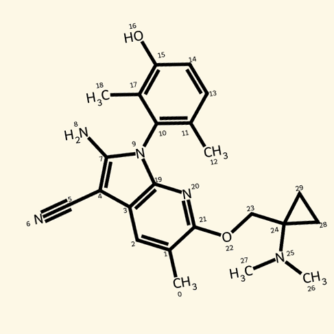 Cc1cc2c(C#N)c(N)n(-c3c(C)ccc(O)c3C)c2nc1OCC1(N(C)C)CC1